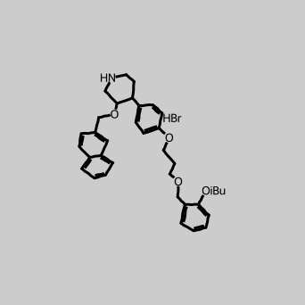 Br.CC(C)COc1ccccc1COCCCOc1ccc(C2CCNCC2OCc2ccc3ccccc3c2)cc1